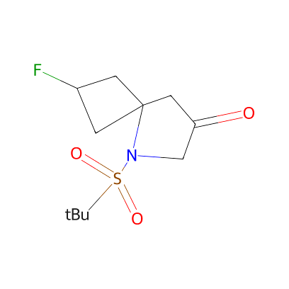 CC(C)(C)S(=O)(=O)N1CC(=O)CC12CC(F)C2